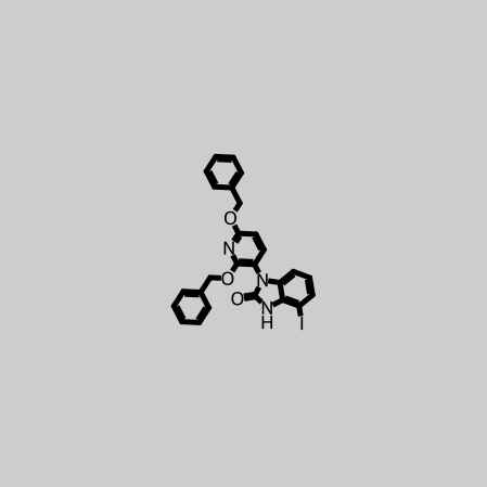 O=c1[nH]c2c(I)cccc2n1-c1ccc(OCc2ccccc2)nc1OCc1ccccc1